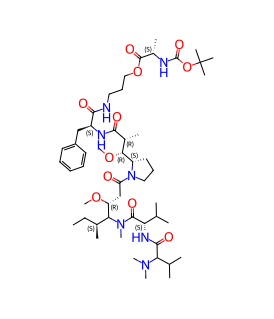 CC[C@H](C)C([C@@H](CC(=O)N1CCC[C@H]1[C@H](OC)[C@@H](C)C(=O)N[C@@H](Cc1ccccc1)C(=O)NCCCOC(=O)[C@H](C)NC(=O)OC(C)(C)C)OC)N(C)C(=O)[C@@H](NC(=O)C(C(C)C)N(C)C)C(C)C